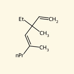 C=CC(C)(C=C(C)CCC)CC